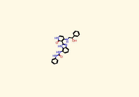 O=C(Nc1ccccc1)Nc1cccc2nc(-c3c(NC[C@H](O)c4ccccc4)cc[nH]c3=O)[nH]c12